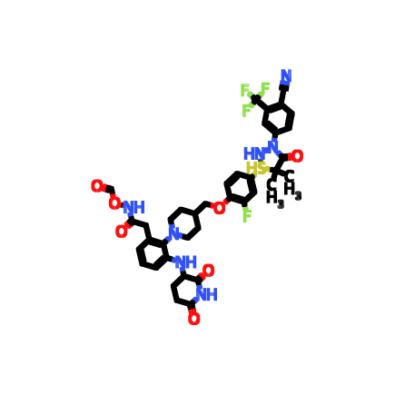 CC1(C)C(=O)N(c2ccc(C#N)c(C(F)(F)F)c2)N[SH]1c1ccc(OCC2CCN(c3c(CC(=O)NOC=O)cccc3NC3CCC(=O)NC3=O)CC2)c(F)c1